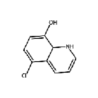 OC1=CC=C(Cl)C2=CC=CNC12